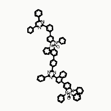 O=P1(c2ccc(-c3ccc(-c4nc(-c5ccccc5)nc(-c5ccc(-c6ccc7c(c6)N(c6ccccc6)P(=O)(c6ccccc6)N7c6ccccc6)c6ccccc56)n4)cc3)cc2)N(c2ccccc2)c2ccc(-c3cccc(-c4nc(-c5ccccc5)cc(-c5ccccc5)n4)c3)cc2N1c1ccccc1